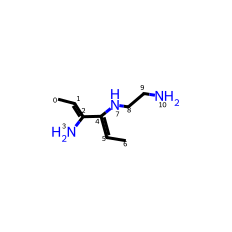 CC=C(N)C(=CC)NCCN